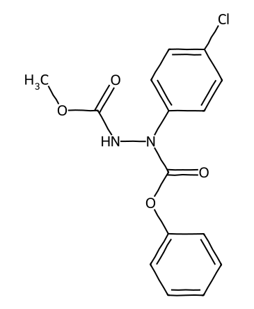 COC(=O)NN(C(=O)Oc1ccccc1)c1ccc(Cl)cc1